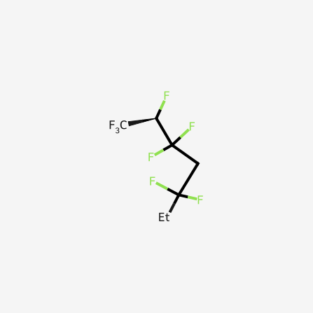 [CH2]CC(F)(F)CC(F)(F)[C@H](F)C(F)(F)F